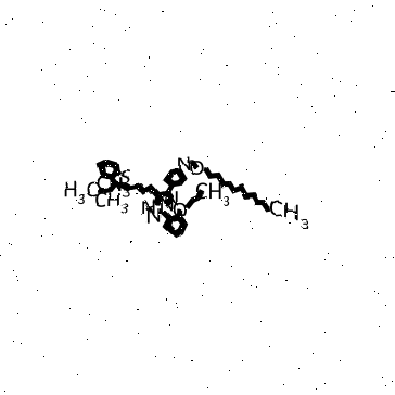 CCCCCCCCCCCCCO/C=N\c1ccc(-c2nn3c(-c4ccccc4OCCCC)nnc3\c2=C/C=C/C=C2\Sc3ccccc3N2CC(C)(C)C)cc1